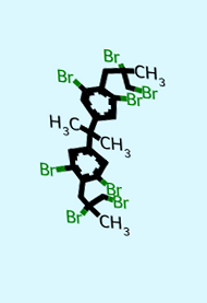 CC(Br)(CBr)Cc1c(Br)cc(C(C)(C)c2cc(Br)c(CC(C)(Br)CBr)c(Br)c2)cc1Br